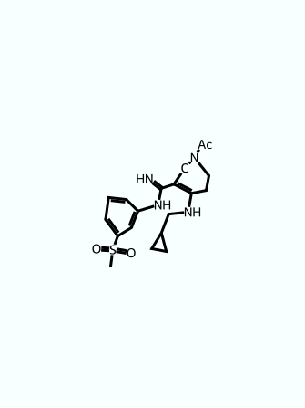 CC(=O)N1CCC(NCC2CC2)=C(C(=N)Nc2cccc(S(C)(=O)=O)c2)C1